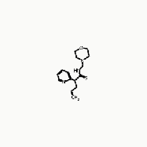 C=CCC(C(=S)NCN1CCOCC1)c1ccccn1